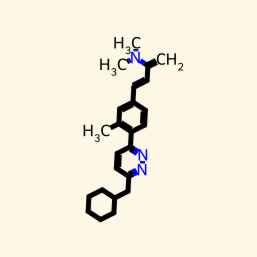 C=C(/C=C/c1ccc(-c2ccc(CC3CCCCC3)nn2)c(C)c1)N(C)C